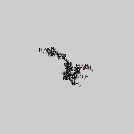 NCCCC[C@@H](NC(=O)CNC(=O)[C@@H](CC(=O)O)NC(=O)[C@H](CCCN)NC(=O)[C@@H](CC(=O)O)NC(=O)CNC(=O)[C@@H](CC(=O)O)NC(=O)CCCNC(=O)c1ccc(NCc2cnc3nc(N)nc(O)c3n2)cc1)C(=O)O